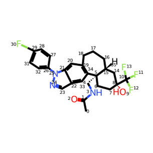 CC(=O)NC[C@@]12CC[C@](O)(C(F)(F)F)C[C@H]1CCCc1cc3c(cnn3-c3ccc(F)cc3)cc12